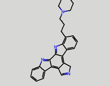 C1=NCc2c1c1c(c3c2-c2cccc(CCCN4CCCCC4)c2N=3)=Nc2ccccc2-1